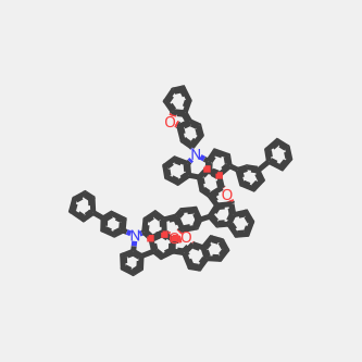 c1ccc(-c2ccc(N(c3ccc4c(c3)oc3cc(-c5cc6ccccc6c6oc7ccc(-c8ccccc8N(c8ccc(-c9cccc(-c%10ccccc%10)c9)cc8)c8ccc9c(c8)oc8ccccc89)cc7c56)ccc34)c3ccccc3-c3ccc4oc5c6ccccc6ccc5c4c3)cc2)cc1